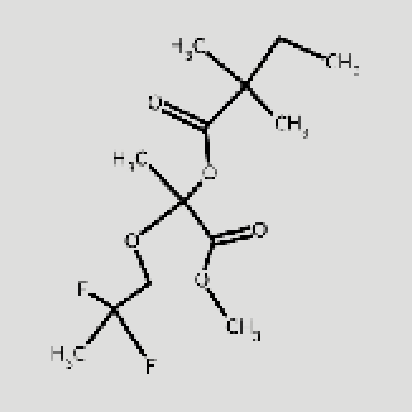 CCC(C)(C)C(=O)OC(C)(OCC(C)(F)F)C(=O)OC